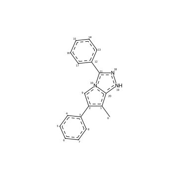 Cc1c(-c2ccccc2)cn2c(-c3ccccc3)n[nH]c12